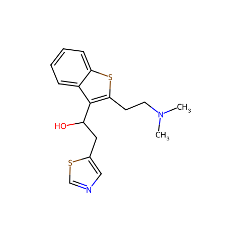 CN(C)CCc1sc2ccccc2c1C(O)Cc1cncs1